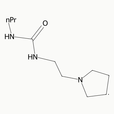 CCCNC(=O)NCCN1C[CH]CC1